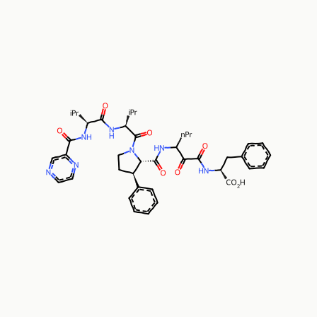 CCCC(NC(=O)[C@@H]1[C@@H](c2ccccc2)CCN1C(=O)[C@@H](NC(=O)[C@@H](NC(=O)c1cnccn1)C(C)C)C(C)C)C(=O)C(=O)N[C@@H](Cc1ccccc1)C(=O)O